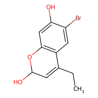 CCC1=CC(O)Oc2cc(O)c(Br)cc21